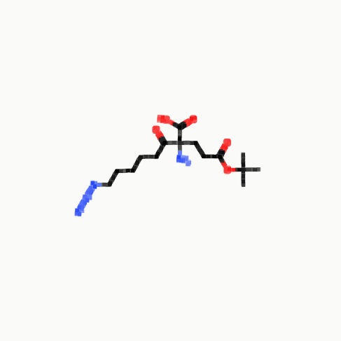 CC(C)(C)OC(=O)CCC(N)(C(=O)O)C(=O)CCCCCN=[N+]=[N-]